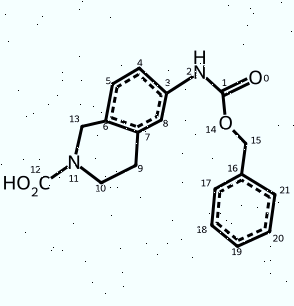 O=C(Nc1ccc2c(c1)CCN(C(=O)O)C2)OCc1ccccc1